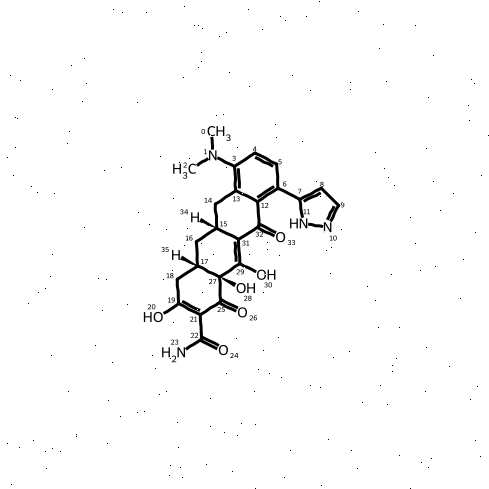 CN(C)c1ccc(-c2ccn[nH]2)c2c1C[C@H]1C[C@H]3CC(O)=C(C(N)=O)C(=O)[C@@]3(O)C(O)=C1C2=O